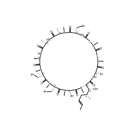 C/C=C/C[C@@H](C)[C@@H](O)[C@H]1C(=O)N[C@@H](CC)C(=O)N(C)CC(=O)N(C)CC(=O)N[C@@H](CC(C)C)C(=O)N(C)[C@@H](C)C(=O)N[C@@H](C)C(=O)N[C@H](C)C(=O)N(C)[C@@H](CC(C)C)C(=O)N(C)[C@@H](CC(C)C)C(=O)N(C)[C@@H](C(C)C)C(=O)N1C